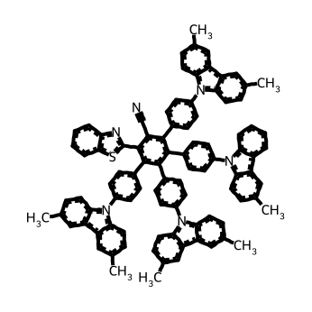 Cc1ccc2c(c1)c1ccccc1n2-c1ccc(-c2c(-c3ccc(-n4c5ccc(C)cc5c5cc(C)ccc54)cc3)c(C#N)c(-c3nc4ccccc4s3)c(-c3ccc(-n4c5ccc(C)cc5c5cc(C)ccc54)cc3)c2-c2ccc(-n3c4ccc(C)cc4c4cc(C)ccc43)cc2)cc1